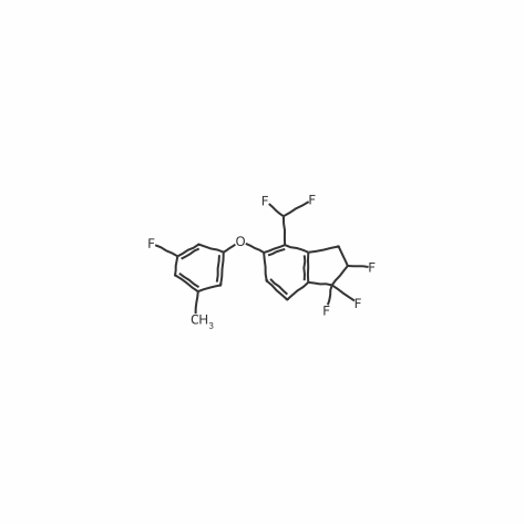 Cc1cc(F)cc(Oc2ccc3c(c2C(F)F)CC(F)C3(F)F)c1